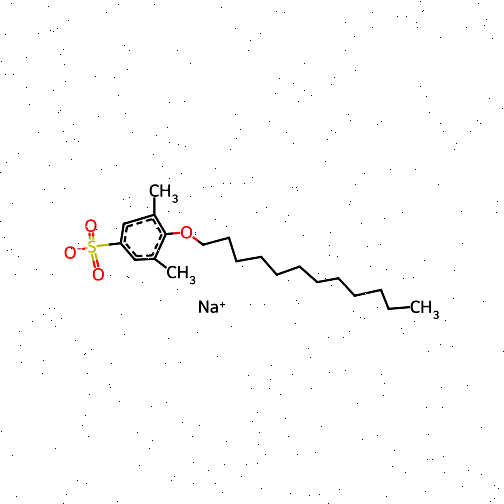 CCCCCCCCCCCCOc1c(C)cc(S(=O)(=O)[O-])cc1C.[Na+]